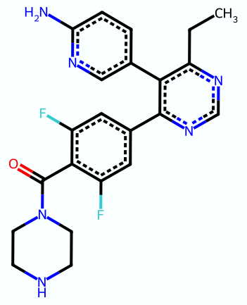 CCc1ncnc(-c2cc(F)c(C(=O)N3CCNCC3)c(F)c2)c1-c1ccc(N)nc1